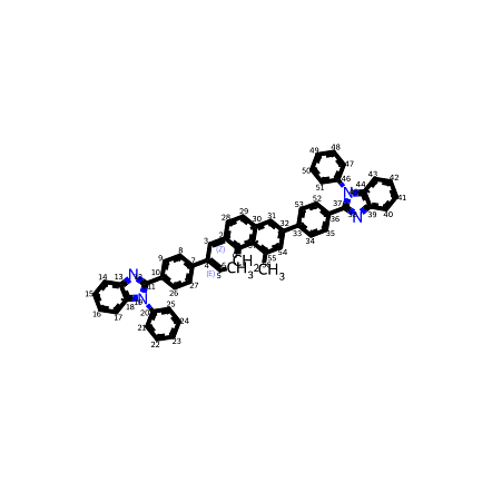 C=c1/c(=C\C(=C/C)c2ccc(-c3nc4ccccc4n3-c3ccccc3)cc2)ccc2cc(-c3ccc(-c4nc5ccccc5n4-c4ccccc4)cc3)cc(C)c12